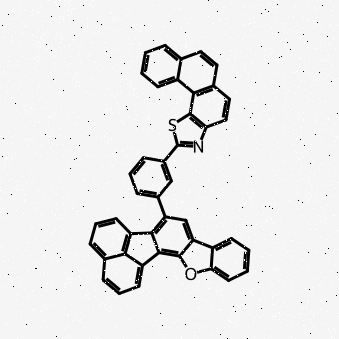 c1cc(-c2nc3ccc4ccc5ccccc5c4c3s2)cc(-c2cc3c(oc4ccccc43)c3c2-c2cccc4cccc-3c24)c1